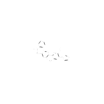 COc1cc(N[C@@H](C)c2ccccc2)nnc1-c1ccc(-n2cnc(C)c2)c(CO)n1